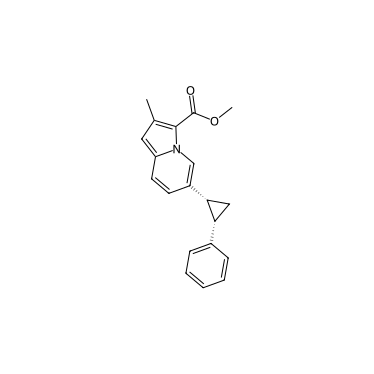 COC(=O)c1c(C)cc2ccc([C@@H]3C[C@@H]3c3ccccc3)cn12